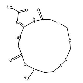 CC1CCCCCCCCCC(=O)NC(=NC(=O)O)NCC(=O)O1